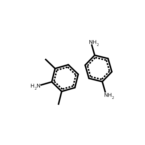 Cc1cccc(C)c1N.Nc1ccc(N)cc1